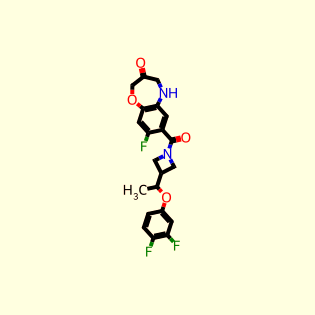 CC(Oc1ccc(F)c(F)c1)C1CN(C(=O)c2cc3c(cc2F)OCC(=O)CN3)C1